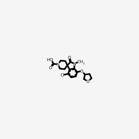 CN1C(=O)C2(CCN(C(=O)O)CC2)c2c(Cl)ccc(OC3CCOC3)c21